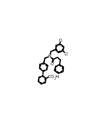 O=C(O)c1ccccc1-c1ccc(CN(Cc2cc(Cl)cc(Cl)c2)C(=O)CCc2ccccc2)cc1